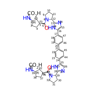 O=C(O)N[C@@H]1CC[C@H](C(=O)N2CCCC2c2ncc(-c3ccc(-c4ccc(-c5cnc(C6CCCN6C(=O)[C@H]6CC[C@@H](NC(=O)O)C6)[nH]5)cc4)cc3)[nH]2)C1